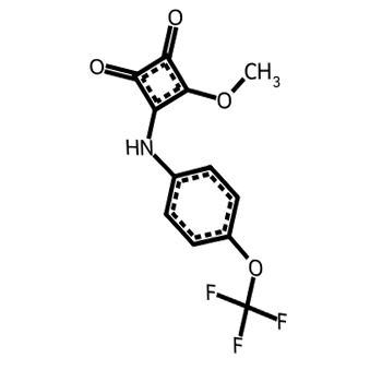 COc1c(Nc2ccc(OC(F)(F)F)cc2)c(=O)c1=O